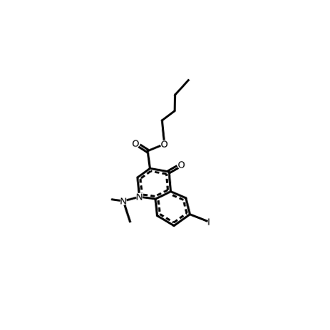 CCCCOC(=O)c1cn(N(C)C)c2ccc(I)cc2c1=O